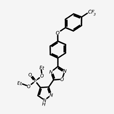 CCOP(=O)(OCC)c1c[nH]nc1-c1nc(-c2ccc(Oc3ccc(C(F)(F)F)cc3)cc2)no1